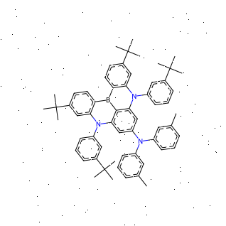 Cc1cccc(N(c2cccc(C)c2)c2cc3c4c(c2)N(c2cccc(C(C)(C)C)c2)c2cc(C(C)(C)C)ccc2B4c2ccc(C(C)(C)C)cc2N3c2cccc(C(C)(C)C)c2)c1